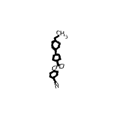 CCCC1CCC(C2CCC(C(=O)OC3CCC(C#N)CC3)CC2)CC1